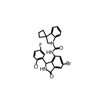 O=C1NC(c2cc(F)ccc2Cl)c2c(NC(=O)N3CC4(CCC4)c4ccccc43)cc(Br)cc21